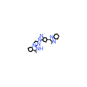 Cc1nc2ccccc2nc1-c1ccc2c(c1)ncn2-c1ccnc(N[C@@H](C)c2ccccc2)n1